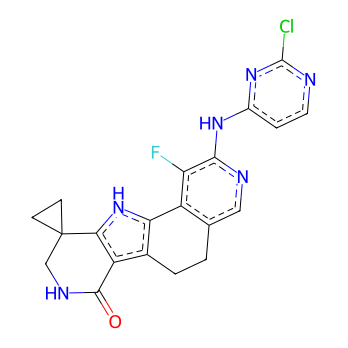 O=C1NCC2(CC2)c2[nH]c3c(c21)CCc1cnc(Nc2ccnc(Cl)n2)c(F)c1-3